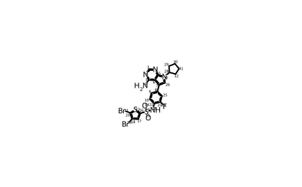 Nc1ncnc2c1c(-c1ccc(NS(=O)(=O)c3cc(Br)c(Br)s3)c(F)c1)cn2C1CCCC1